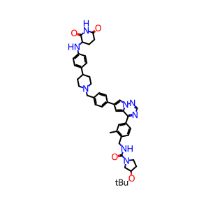 Cc1cc(-c2ncnn3cc(-c4ccc(CN5CCC(c6ccc(NC7CCC(=O)NC7=O)cc6)CC5)cc4)cc23)ccc1CNC(=O)N1CCC(OC(C)(C)C)C1